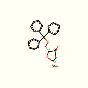 CO[C@H]1CC(=O)[C@@H](COC(c2ccccc2)(c2ccccc2)c2ccccc2)O1